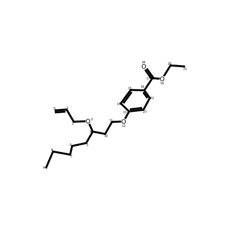 C=CCOC(CCCCC)CCOc1ccc(C(=O)OCC)cc1